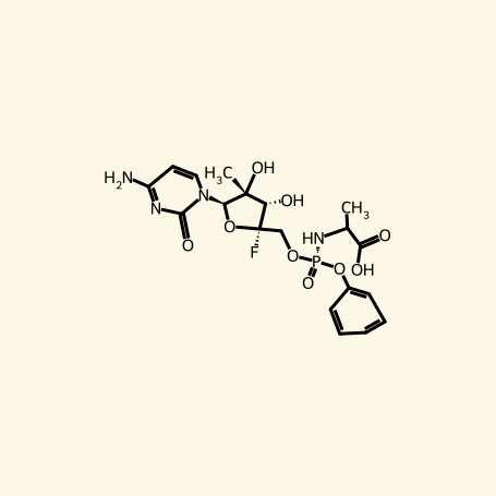 CC(N[P@](=O)(OC[C@@]1(F)O[C@@H](n2ccc(N)nc2=O)[C@](C)(O)[C@@H]1O)Oc1ccccc1)C(=O)O